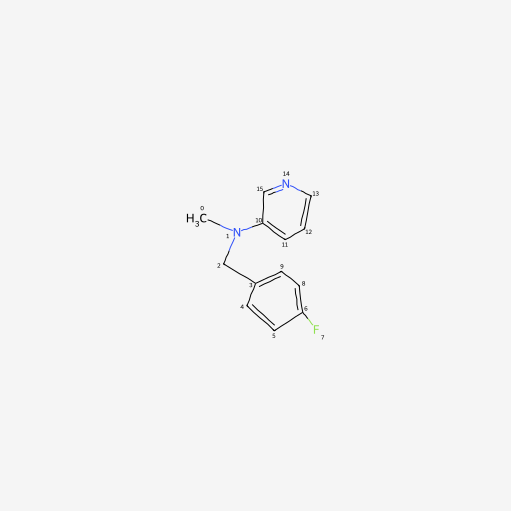 CN(Cc1ccc(F)cc1)c1cccnc1